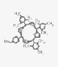 Cc1cc(C)c(-c2c3nc(c(-c4c(C)cc(C)cc4C)c4ccc([nH]4)c(-c4c(C)cc(C)cc4C)c4nc(c(-c5ccc(CBr)cc5)c5ccc2[nH]5)C=C4)C=C3)c(C)c1